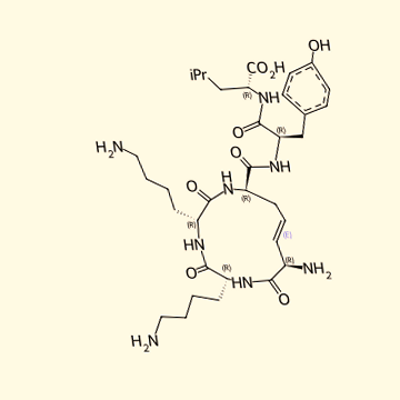 CC(C)C[C@@H](NC(=O)[C@@H](Cc1ccc(O)cc1)NC(=O)[C@H]1C/C=C/[C@@H](N)C(=O)N[C@H](CCCCN)C(=O)N[C@H](CCCCN)C(=O)N1)C(=O)O